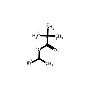 CC(C)C(C)OC(=O)C(C)(C)N